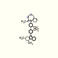 C\C=C1/C=C\C=C/CC2=C(CCC=C2)N1c1ccc(-c2ccc(-n3c4c(c5ccccc53)C(C)CC(C)C4)cc2C)c(C)c1